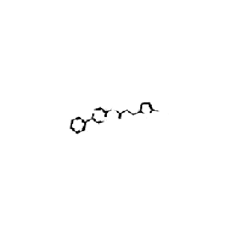 CC1=CCC(CCC(=O)Nc2cnc(-c3ccccc3)cn2)O1